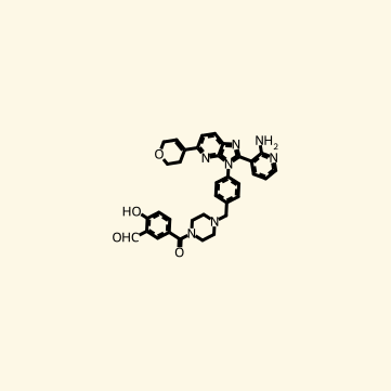 Nc1ncccc1-c1nc2ccc(C3=CCOCC3)nc2n1-c1ccc(CN2CCN(C(=O)c3ccc(O)c(C=O)c3)CC2)cc1